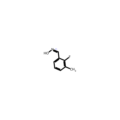 Cc1cccc(/C=N\O)c1F